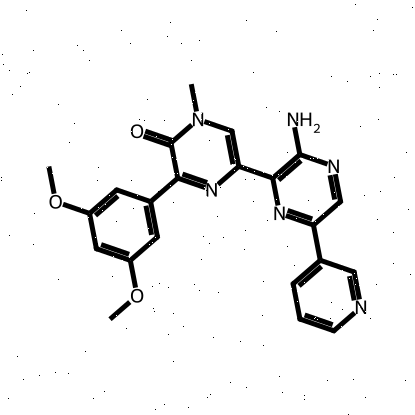 COc1cc(OC)cc(-c2nc(-c3nc(-c4cccnc4)cnc3N)cn(C)c2=O)c1